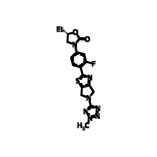 CC[C@H]1CN(c2ccc(-c3nc4c(s3)CN(c3nnn(C)n3)C4)c(F)c2)C(=O)O1